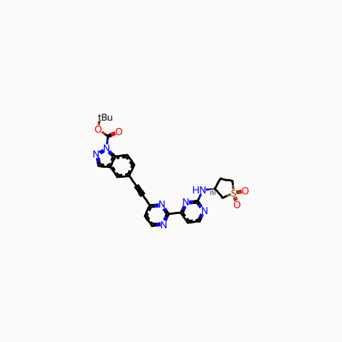 CC(C)(C)OC(=O)n1ncc2cc(C#Cc3ccnc(-c4ccnc(N[C@H]5CCS(=O)(=O)C5)n4)n3)ccc21